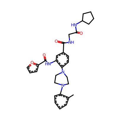 Cc1ccccc1N1CCN(c2ccc(C(=O)NCC(=O)NC3CCCC3)cc2NC(=O)c2ccco2)CC1